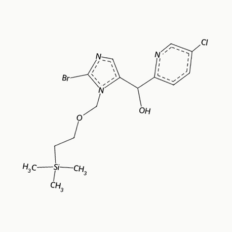 C[Si](C)(C)CCOCn1c(C(O)c2ccc(Cl)cn2)cnc1Br